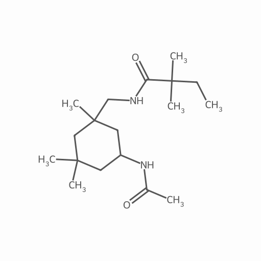 CCC(C)(C)C(=O)NCC1(C)CC(NC(C)=O)CC(C)(C)C1